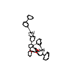 c1ccc(-c2cccc(-c3nc4ccc(-c5ccc6ccccc6c5-c5ccccc5-c5nc(-c6ccccc6)cc(-c6ccccc6)n5)cc4s3)c2)cc1